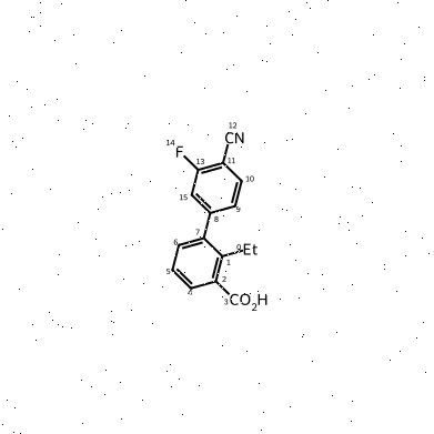 CCc1c(C(=O)O)cccc1-c1ccc(C#N)c(F)c1